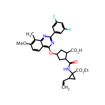 C=CC1CC1(NC(=O)C1CC(Oc2nc(-c3cc(F)cc(F)c3)nc3c(C)c(OC)ccc23)CC1C(=O)O)C(=O)OCC